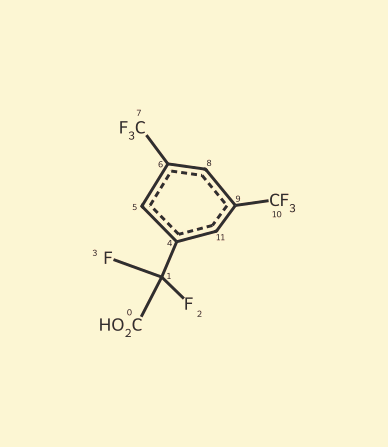 O=C(O)C(F)(F)c1cc(C(F)(F)F)cc(C(F)(F)F)c1